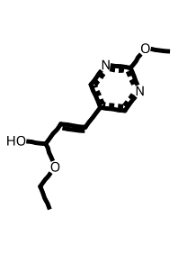 CCOC(O)/C=C/c1cnc(OC)nc1